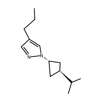 CCCc1cnn([C@H]2C[C@H](C(C)C)C2)c1